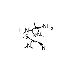 CSC(=CC#N)N(C)C.Cc1c(N)nn(C)c1N